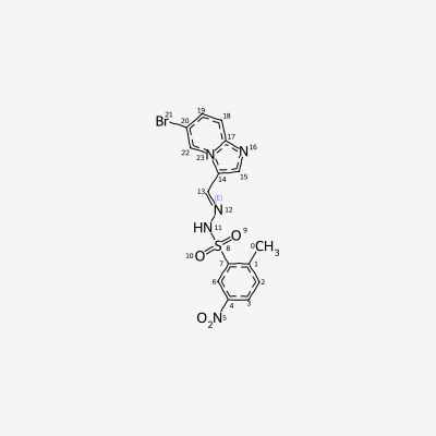 Cc1ccc([N+](=O)[O-])cc1S(=O)(=O)N/N=C/c1cnc2ccc(Br)cn12